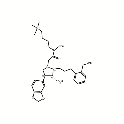 CCCCN(CCCC[N+](C)(C)C)C(=O)CN1C[C@H](c2ccc3c(c2)OCO3)[C@@H](C(=O)O)[C@@H]1CCCc1ccccc1CO